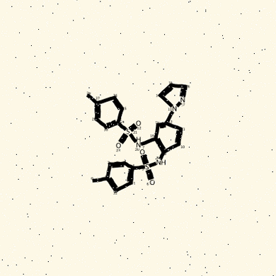 Cc1ccc(S(=O)(=O)Nc2ccc(-n3cccn3)cc2NS(=O)(=O)c2ccc(C)cc2)cc1